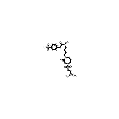 CCCN(CCCCN1CCCN(S(=O)(=O)CCN(C)C)CC1=O)C(C)Cc1ccc(S(C)(=O)=O)cc1